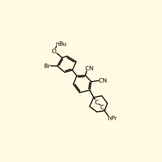 CCCCOc1ccc(-c2ccc(C34CCC(CCC)(CC3)CC4)c(C#N)c2C#N)cc1Br